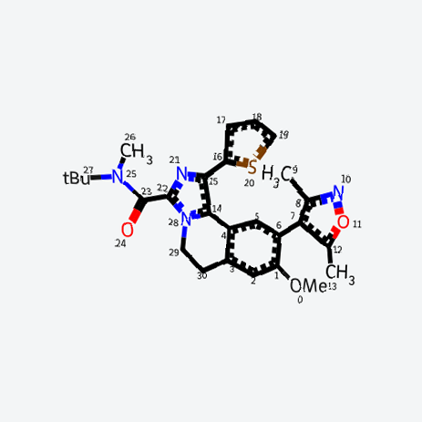 COc1cc2c(cc1-c1c(C)noc1C)-c1c(-c3cccs3)nc(C(=O)N(C)C(C)(C)C)n1CC2